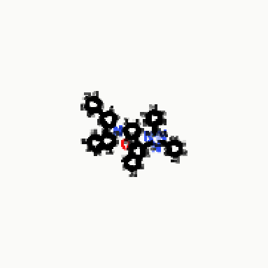 C1=CC(c2ccc3c(c2)c2c4ccccc4ccc2n3-c2cccc3c2oc2c4ccccc4cc(-c4nc(-c5ccccc5)nc(-c5ccccc5)n4)c32)=CCC1